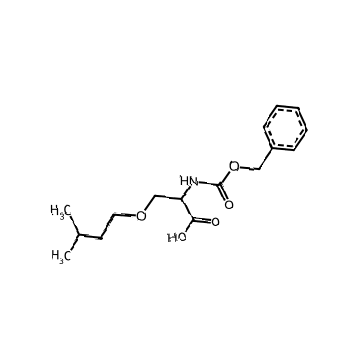 CC(C)CCOCC(NC(=O)OCc1ccccc1)C(=O)O